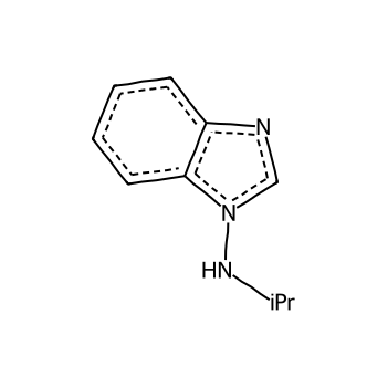 CC(C)Nn1cnc2ccccc21